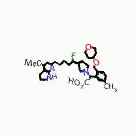 COc1cc(CCCCC(F)C2CCN(C(C(=O)O)c3cc(C)ccc3COC3CCOCC3)C2)nc2c1CCCN2